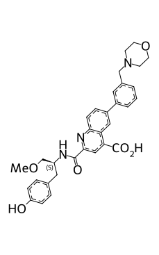 COC[C@H](Cc1ccc(O)cc1)NC(=O)c1cc(C(=O)O)c2cc(-c3cccc(CN4CCOCC4)c3)ccc2n1